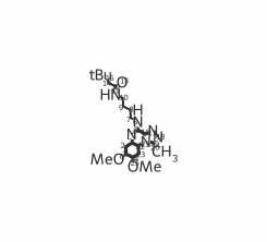 COc1cc2nc(NCCCCNC(=O)CC(C)(C)C)c3nnc(C)n3c2cc1OC